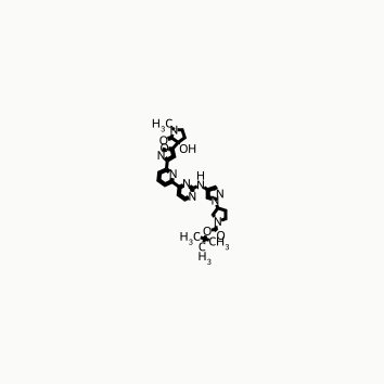 CN1CC[C@@](O)(c2cc(-c3cccc(-c4ccnc(Nc5cnn(C6CCN(C(=O)OC(C)(C)C)C6)c5)n4)n3)no2)C1=O